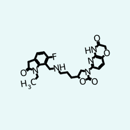 CCN1C(=O)Cc2ccc(F)c(CNCCCC3CN(c4ccc5c(n4)NC(=O)CO5)C(=O)O3)c21